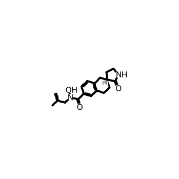 C=C(C)CN(O)C(=O)c1ccc2c(c1)CC[C@]1(CCNC1=O)C2